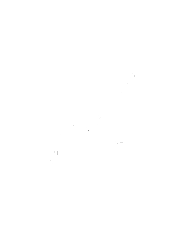 Cc1cc(COCc2cccc(Nc3sc(-c4ccc(C(C)(C)O)cc4F)cc3C(N)=O)n2)n(C)n1